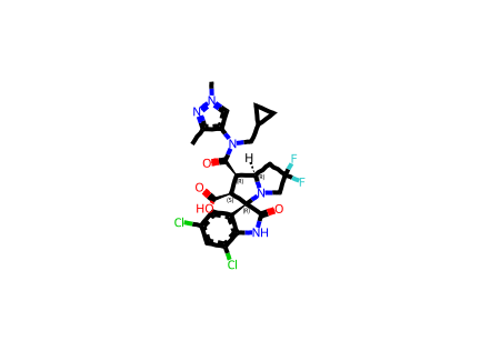 Cc1nn(C)cc1N(CC1CC1)C(=O)[C@H]1[C@H]2CC(F)(F)CN2[C@]2(C(=O)Nc3c(Cl)cc(Cl)cc32)[C@H]1C(=O)O